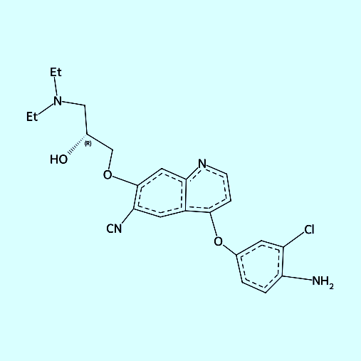 [C-]#[N+]c1cc2c(Oc3ccc(N)c(Cl)c3)ccnc2cc1OC[C@H](O)CN(CC)CC